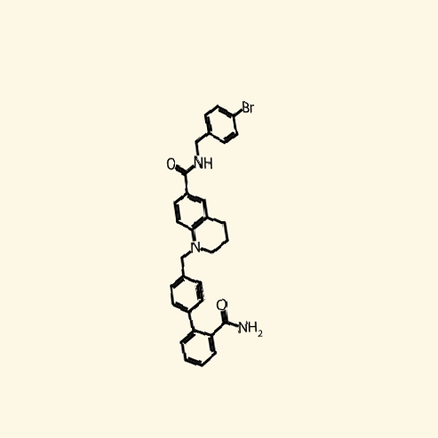 NC(=O)c1ccccc1-c1ccc(CN2CCCc3cc(C(=O)NCc4ccc(Br)cc4)ccc32)cc1